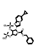 CC(C)(C)[Si](C)(C)OC1CN(C(=O)OCc2ccccc2)[C@@H](c2cn3cc(C4CC4)ccc3n2)C1O[Si](C)(C)C(C)(C)C